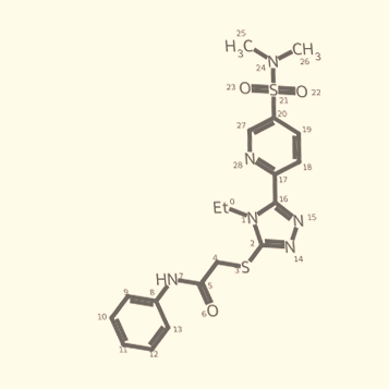 CCn1c(SCC(=O)Nc2ccccc2)nnc1-c1ccc(S(=O)(=O)N(C)C)cn1